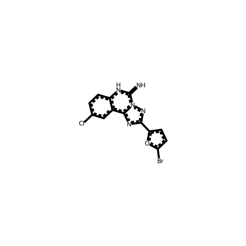 N=c1[nH]c2ccc(Cl)cc2c2nc(-c3ccc(Br)o3)nn12